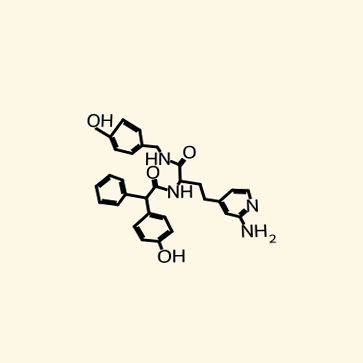 Nc1cc(CCC(NC(=O)C(c2ccccc2)c2ccc(O)cc2)C(=O)NCc2ccc(CO)cc2)ccn1